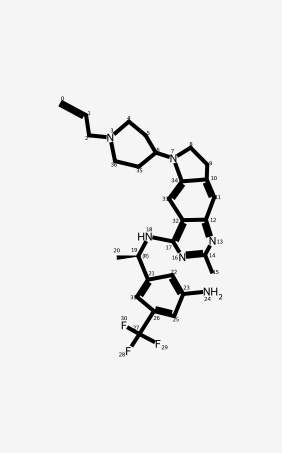 C=CCN1CCC(N2CCc3cc4nc(C)nc(N[C@H](C)c5cc(N)cc(C(F)(F)F)c5)c4cc32)CC1